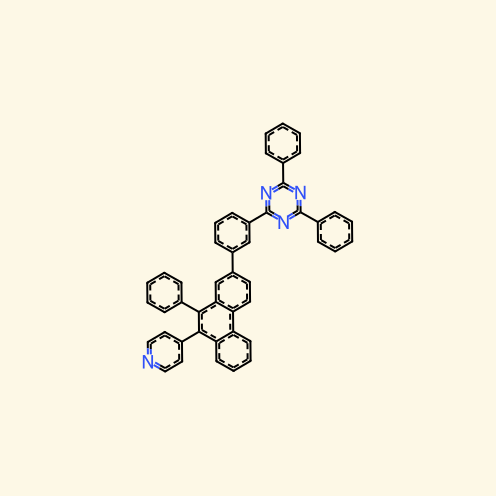 c1ccc(-c2nc(-c3ccccc3)nc(-c3cccc(-c4ccc5c(c4)c(-c4ccccc4)c(-c4ccncc4)c4ccccc45)c3)n2)cc1